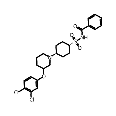 O=C(NS(=O)(=O)[C@H]1CC[C@H](N2CCCC(Oc3ccc(Cl)c(Cl)c3)C2)CC1)c1ccccc1